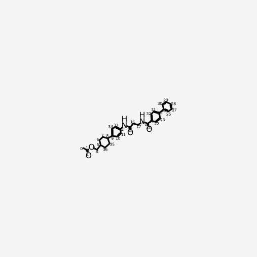 CC(=O)OCC1CCC(c2ccc(NC(=O)CCNC(=O)c3ccc(-c4ccccc4)cc3)cc2)CC1